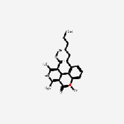 CCCCCCCCCCCCCCCc1cccc(OC(C)C)c1C1C(C(=O)OC(C)C)=C(C)NC(C)=C1C(=O)OC(C)C